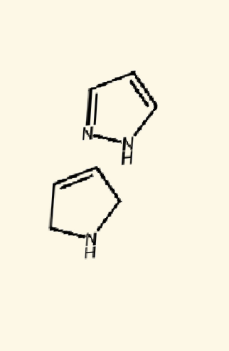 C1=CCNC1.c1cn[nH]c1